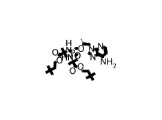 C[C@H](Cn1cnc2c(N)ccnc21)OCP(=O)(NC(C)(C)C(=O)OCCC(C)(C)C)NC(C)(C)C(=O)OCCC(C)(C)C